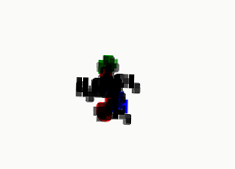 Cc1cc(-c2nnc(NCC3(C)OCCO3)o2)nc2c(C(C)(C)C)cc(OCC(F)(F)F)cc12